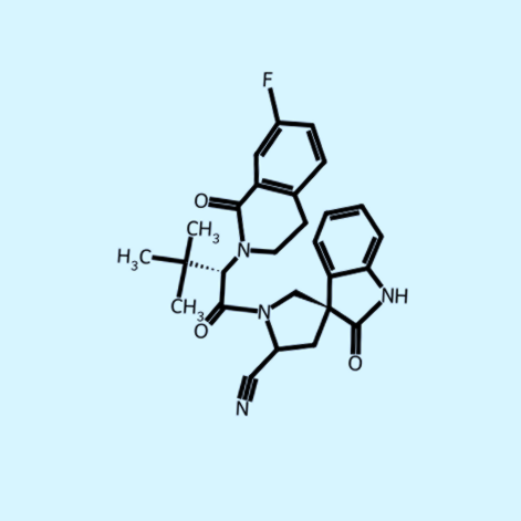 CC(C)(C)[C@@H](C(=O)N1C[C@]2(CC1C#N)C(=O)Nc1ccccc12)N1CCc2ccc(F)cc2C1=O